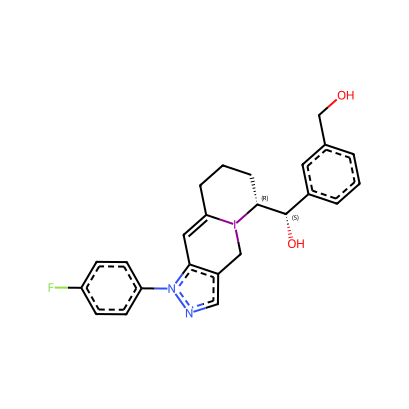 OCc1cccc([C@H](O)[C@H]2CCCC3=Cc4c(cnn4-c4ccc(F)cc4)CI32)c1